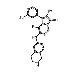 CC(C)n1c(=O)c2cnc(Nc3ccc4c(c3)CCNC4)c(F)c2n1-c1ccnc(C(C)(C)C)c1